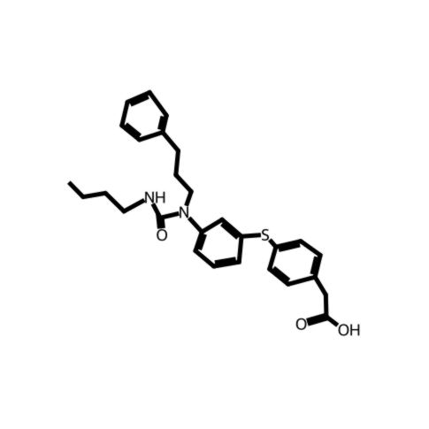 CCCCNC(=O)N(CCCc1ccccc1)c1cccc(Sc2ccc(CC(=O)O)cc2)c1